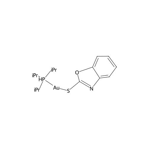 CC(C)[PH]([Au][S]c1nc2ccccc2o1)(C(C)C)C(C)C